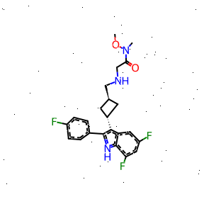 CON(C)C(=O)CNC[C@H]1C[C@H](c2c(-c3ccc(F)cc3)[nH]c3c(F)cc(F)cc32)C1